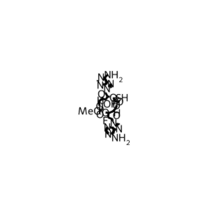 COP1(=O)OC[C@H]2OC(n3cnc4c(N)ncnc43)C(O[P@@](=O)(S)OC[C@H]3O[C@@H](n4cnc5c(N)ncnc54)C(F)C3O1)C2O